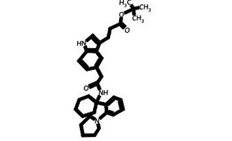 CC(C)(C)OC(=O)CCc1c[nH]c2ccc(CC(=O)NC3(c4ccccc4N4CCCCC4)CCCCC3)cc12